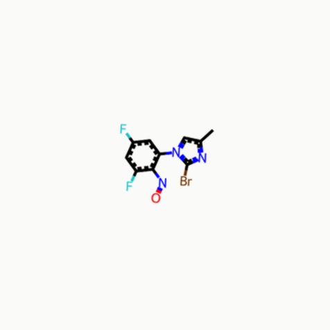 Cc1cn(-c2cc(F)cc(F)c2N=O)c(Br)n1